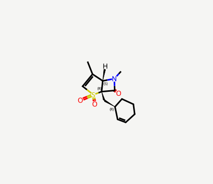 CC1=CS(=O)(=O)[C@@]2(C[C@@H]3C=CCCC3)C(=O)N(C)[C@@H]12